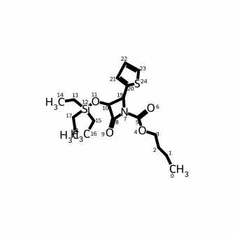 CCCCOC(=O)N1C(=O)C(O[Si](CC)(CC)CC)C1c1cccs1